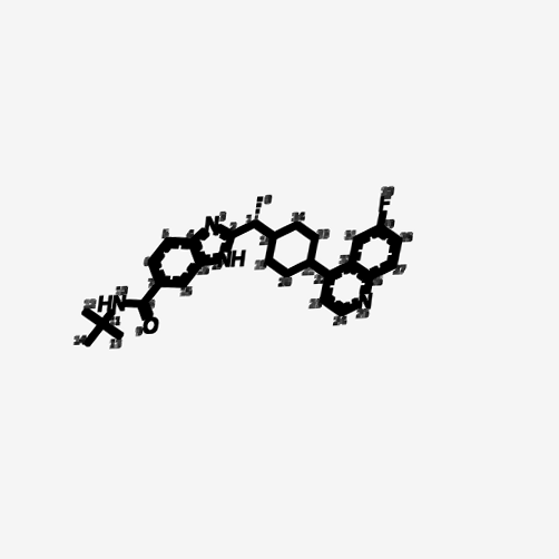 C[C@@H](c1nc2ccc(C(=O)NC(C)(C)C)cc2[nH]1)C1CCC(c2ccnc3ccc(F)cc23)CC1